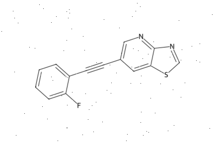 Fc1ccccc1C#Cc1cnc2ncsc2c1